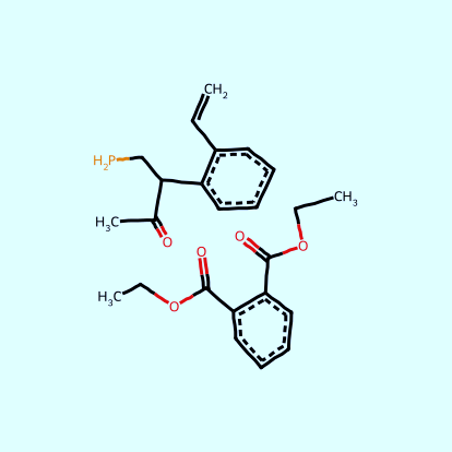 C=Cc1ccccc1C(CP)C(C)=O.CCOC(=O)c1ccccc1C(=O)OCC